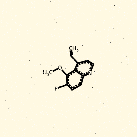 C=Cc1ccnc2ccc(F)c(OC)c12